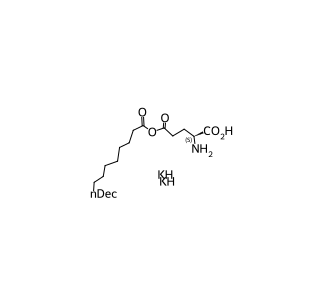 CCCCCCCCCCCCCCCCCC(=O)OC(=O)CC[C@H](N)C(=O)O.[KH].[KH]